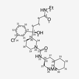 CCNC(=O)CCC[C@@](O)(c1cccc(Cl)c1)[C@@H]1CCCN(C(=O)N[C@H](CNC)CC2CCCCC2)C1